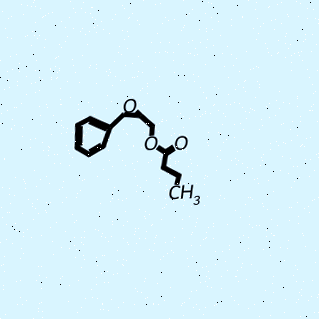 CCCC(=O)OCC1OC1c1ccccc1